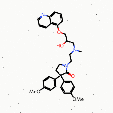 COc1ccc(C2(c3ccc(OC)cc3)CCN(CCN(C)CC(O)COc3cccc4ncccc34)C2=O)cc1